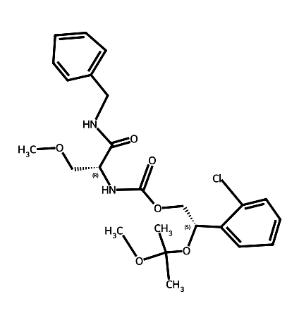 COC[C@@H](NC(=O)OC[C@@H](OC(C)(C)OC)c1ccccc1Cl)C(=O)NCc1ccccc1